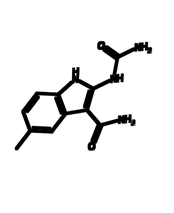 Cc1ccc2[nH]c(NC(N)=O)c(C(N)=O)c2c1